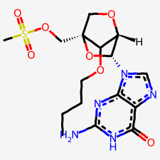 CCCCOC1[C@@H]2OC[C@]1(COS(C)(=O)=O)O[C@H]2n1cnc2c(=O)[nH]c(N)nc21